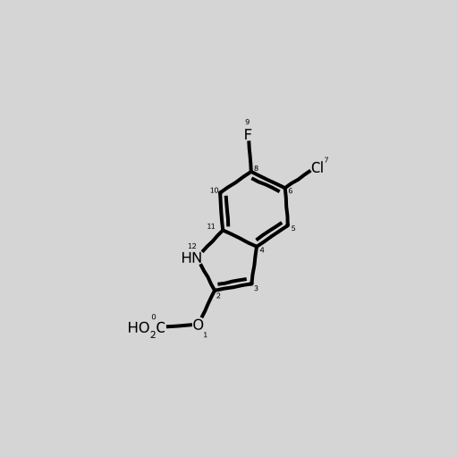 O=C(O)Oc1cc2cc(Cl)c(F)cc2[nH]1